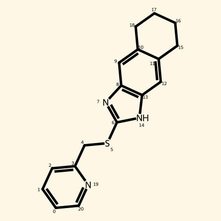 c1ccc(CSc2nc3cc4c(cc3[nH]2)CCCC4)nc1